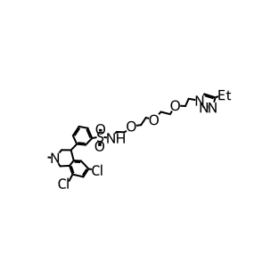 CCc1cn(CCOCCOCCOCCNS(=O)(=O)c2cccc(C3CN(C)Cc4c(Cl)cc(Cl)cc43)c2)nn1